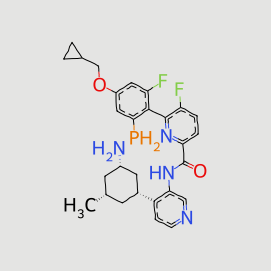 C[C@@H]1C[C@H](N)C[C@H](c2ccncc2NC(=O)c2ccc(F)c(-c3c(F)cc(OCC4CC4)cc3P)n2)C1